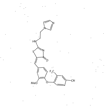 COc1cc(C=C2SC(NCCn3ccnc3)=NC2=O)ccc1Oc1ccc(C#N)cc1C(F)(F)F